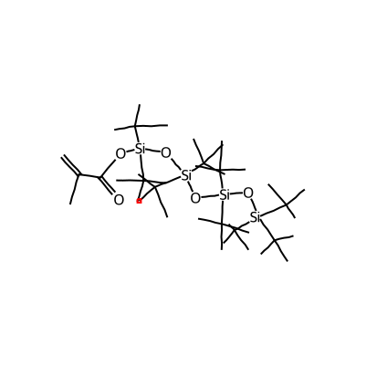 C=C(C)C(=O)O[Si](O[Si](O[Si](O[Si](C(C)(C)C)(C(C)(C)C)C(C)(C)C)(C(C)(C)C)C(C)(C)C)(C(C)(C)C)C(C)(C)C)(C(C)(C)C)C(C)(C)C